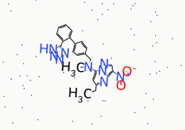 CCc1cc(N(C)Cc2ccc(-c3ccccc3-c3nnn[nH]3)cc2)n2ncc([N+](=O)[O-])c2n1